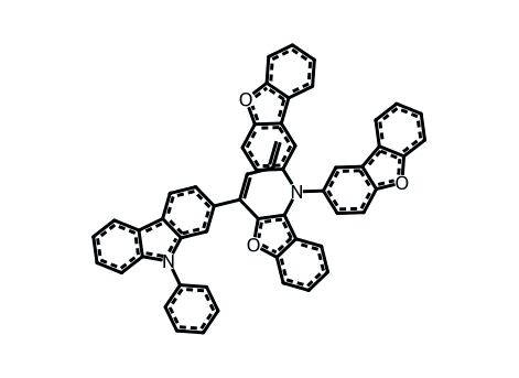 C=C/C=C(/c1ccc2c3ccccc3n(-c3ccccc3)c2c1)c1oc2ccccc2c1N(c1ccc2oc3ccccc3c2c1)c1ccc2oc3ccccc3c2c1